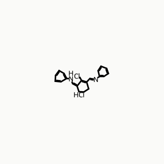 Cl.ClC1=C(C=Nc2ccccc2)CCCC1=CNc1ccccc1